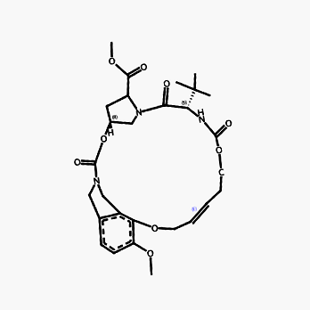 COC(=O)C1C[C@@H]2CN1C(=O)[C@H](C(C)(C)C)NC(=O)OCC/C=C/COc1c(OC)ccc3c1CN(C3)C(=O)O2